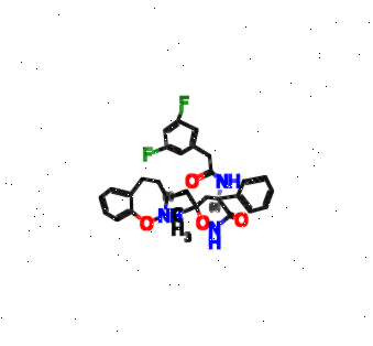 CC1(C[C@@H]2CCc3ccccc3ON2)C[C@@](NC(=O)Cc2cc(F)cc(F)c2)(c2ccccc2)C(=O)NO1